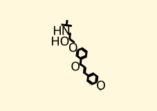 COc1ccc(/C=C/C(=O)c2cccc(OCC(O)CNC(C)(C)C)c2)cc1